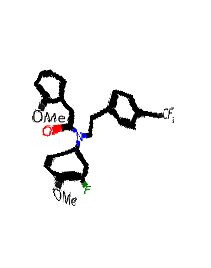 COc1ccc(N(CCc2ccc(C(F)(F)F)cc2)C(=O)Cc2ccccc2OC)cc1F